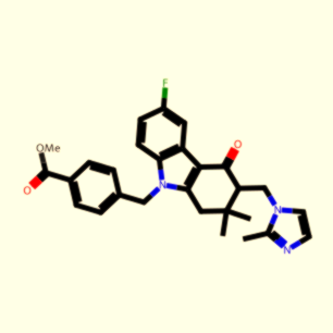 COC(=O)c1ccc(Cn2c3c(c4cc(F)ccc42)C(=O)C(Cn2ccnc2C)C(C)(C)C3)cc1